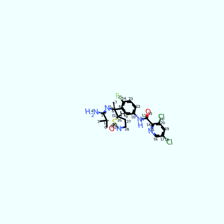 CC1(C)C(N)=N[C@](C)(c2cc(NC(=O)c3ncc(Cl)cc3Cl)ccc2F)[C@@H]2CCN=[S@@]21=O